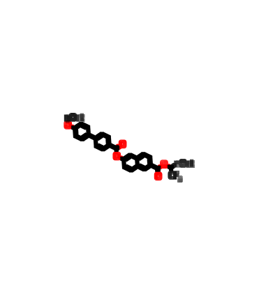 CCCCCCCCOc1ccc(-c2ccc(C(=O)Oc3ccc4cc(C(=O)OC(CCCCCCCC)C(F)(F)F)ccc4c3)cc2)cc1